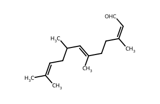 CC(C)=CCC(C)C=C(C)CCC(C)=CC=O